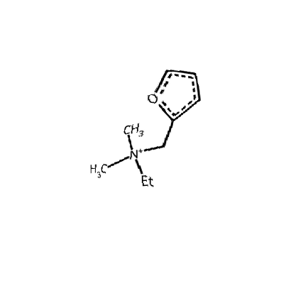 CC[N+](C)(C)Cc1ccco1